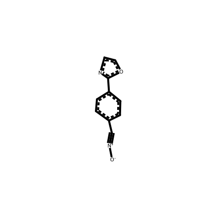 [O-][N+]#Cc1ccc(-c2ncco2)cc1